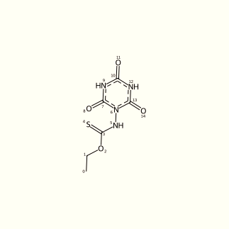 CCOC(=S)Nn1c(=O)[nH]c(=O)[nH]c1=O